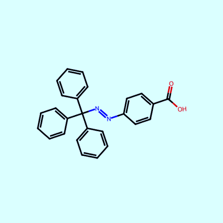 O=C(O)c1ccc(/N=N/C(c2ccccc2)(c2ccccc2)c2ccccc2)cc1